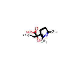 CCC(O)(C(=O)O)c1ccc(C)nc1C